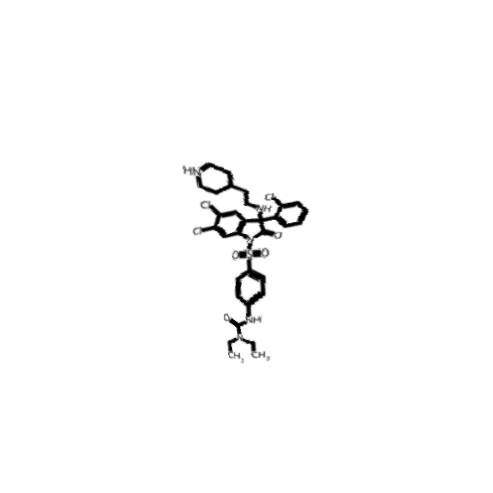 CCN(CC)C(=O)Nc1ccc(S(=O)(=O)N2C(=O)C(NCCC3CCNCC3)(c3ccccc3Cl)c3cc(Cl)c(Cl)cc32)cc1